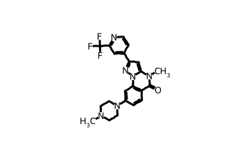 CN1CCN(c2ccc3c(=O)n(C)c4cc(-c5ccnc(C(F)(F)F)c5)nn4c3c2)CC1